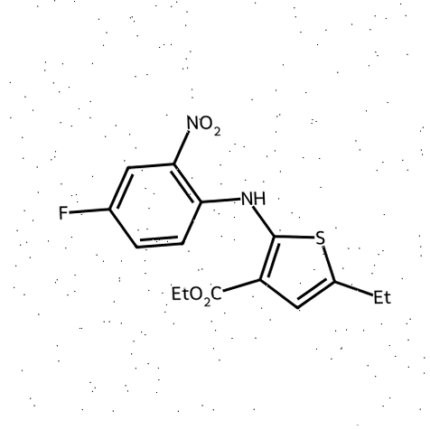 CCOC(=O)c1cc(CC)sc1Nc1ccc(F)cc1[N+](=O)[O-]